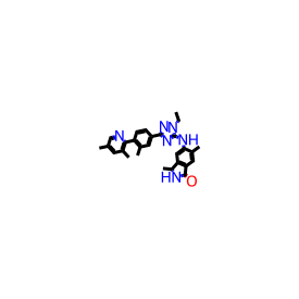 CCn1nc(-c2ccc(-c3ncc(C)cc3C)c(C)c2)nc1Nc1cc2c(cc1C)C(=O)NC2C